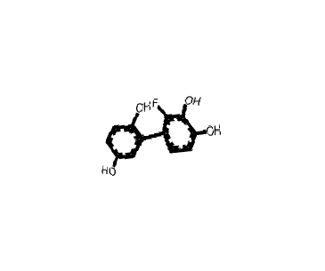 Oc1ccc(O)c(-c2ccc(O)c(O)c2F)c1